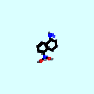 NC1CCCc2c1cccc2[N+](=O)[O-]